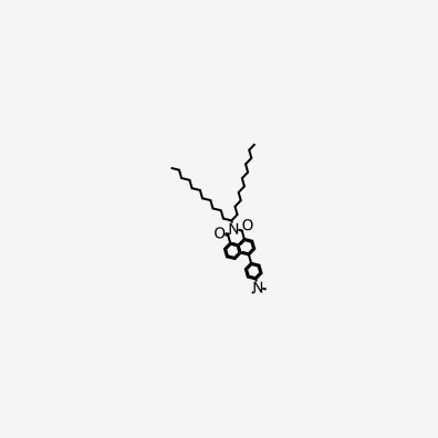 CCCCCCCCCCCC(CCCCCCCCCCC)N1C(=O)c2cccc3c(-c4ccc(N(C)C)cc4)ccc(c23)C1=O